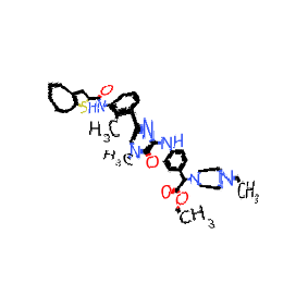 CCOC(=O)C(c1ccc(Nc2nc(-c3cccc(NC(=O)C4CC5=C(CCCCC5)S4)c3C)cn(C)c2=O)cc1)N1CCN(CC)CC1